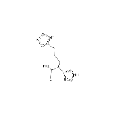 O=C(O)C(CCCc1cnc[nH]1)c1c[nH]cn1